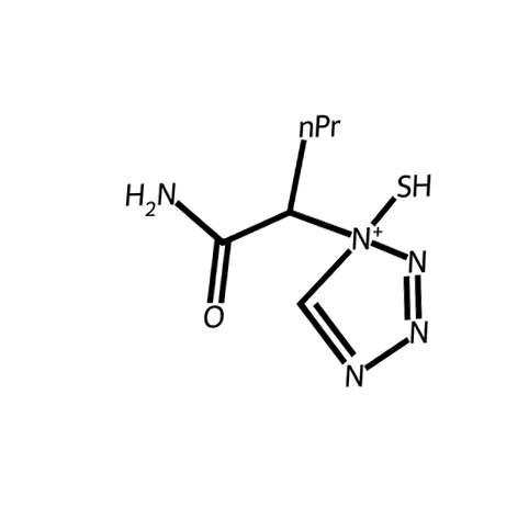 CCCC(C(N)=O)[N+]1(S)C=NN=N1